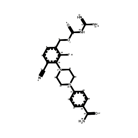 N#Cc1ccc(COC(=O)NC(=N)N)c(F)c1N1CCN(c2ccc(C(N)=O)cc2)CC1